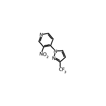 O=[N+]([O-])c1cnccc1-n1ccc(C(F)(F)F)n1